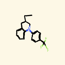 CCC1Cc2ccccc2N(c2ccc(C(F)(F)F)cc2)C1